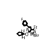 CC/C(=N/[S+]([O-])C(C)(C)C)c1cc(O[C@H]2[C@@H]3CCC[C@@H]32)nc(-c2ccc(F)cc2)c1